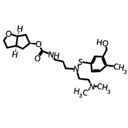 Cc1ccc(SN(CCCNC(=O)O[C@H]2C[C@H]3CCO[C@H]3C2)CCN(C)C)cc1CO